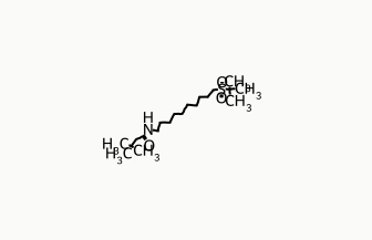 CC(C)(C)CC(=O)NCCCCCCCCCCS(=O)(=O)C(C)(C)C